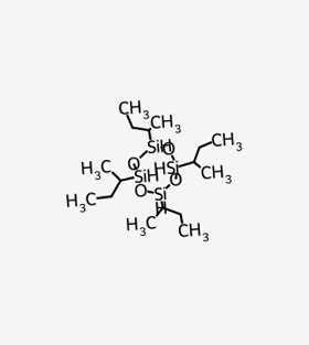 CCC(C)[SiH]1O[SiH](C(C)CC)O[SiH](C(C)CC)O[SiH](C(C)CC)O1